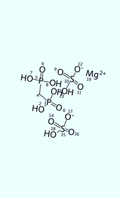 O=P(O)(O)CP(=O)(O)O.O=S(=O)([O-])O.O=S(=O)([O-])O.[Mg+2]